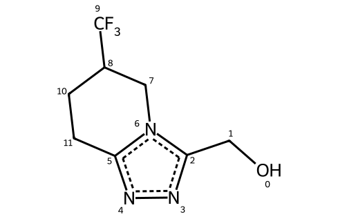 OCc1nnc2n1CC(C(F)(F)F)CC2